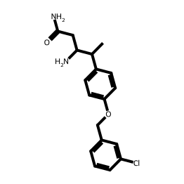 CC(c1ccc(OCc2cccc(Cl)c2)cc1)C(N)CC(N)=O